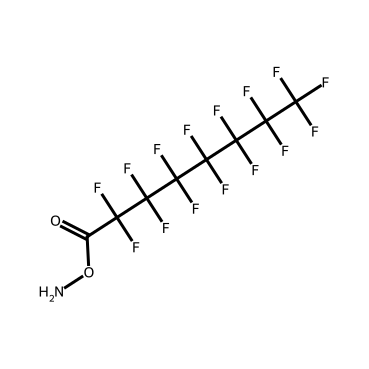 NOC(=O)C(F)(F)C(F)(F)C(F)(F)C(F)(F)C(F)(F)C(F)(F)C(F)(F)F